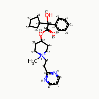 C[N+]1(CCc2ncccn2)CCC(OC(=O)C(O)(c2ccccc2)C2CCCC2)CC1